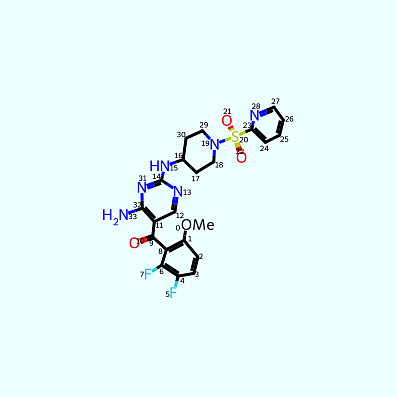 COc1ccc(F)c(F)c1C(=O)c1cnc(NC2CCN(S(=O)(=O)c3ccccn3)CC2)nc1N